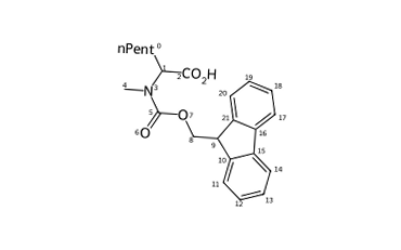 CCCCCC(C(=O)O)N(C)C(=O)OCC1c2ccccc2-c2ccccc21